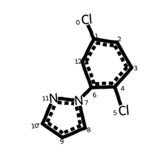 Clc1ccc(Cl)c(-n2cc[c]n2)c1